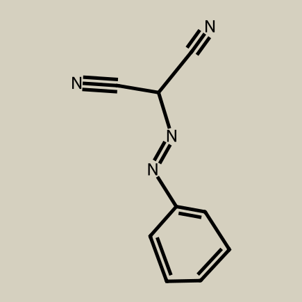 N#CC(C#N)N=Nc1ccccc1